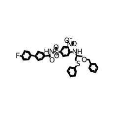 O=C(NS(=O)(=O)c1ccc(NC(COCc2ccccc2)CSc2ccccc2)c([N+](=O)[O-])c1)c1ccc(-c2ccc(F)cc2)cc1